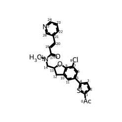 CC(=O)c1ccc(-c2cc(Cl)c3c(c2)CC(CN(C)C(=O)/C=C/c2cccnc2)O3)s1